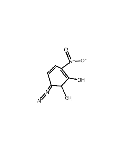 [N-]=[N+]=C1C=CC([N+](=O)[O-])=C(O)C1O